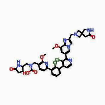 COc1nc(-c2cccc(-c3ccnc(-c4cc(OC)c5nc(CN6CC7(CNC(=O)C7)C6)cn5c4)c3Cl)c2Cl)ccc1CN(CC1CCC(=O)N1)C(=O)O